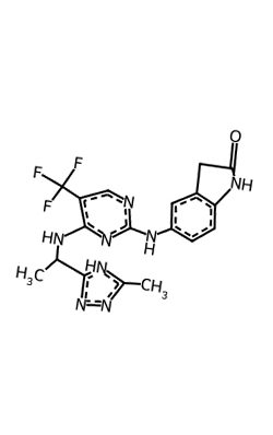 Cc1nnc(C(C)Nc2nc(Nc3ccc4c(c3)CC(=O)N4)ncc2C(F)(F)F)[nH]1